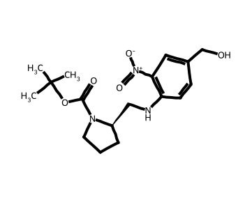 CC(C)(C)OC(=O)N1CCC[C@@H]1CNc1ccc(CO)cc1[N+](=O)[O-]